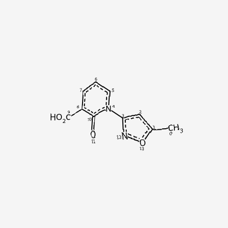 Cc1cc(-n2cccc(C(=O)O)c2=O)no1